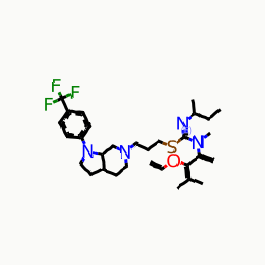 C=COC(C(=C)N(C)/C(=N\C(C)CC)SCCCN1CCC2CCN(c3ccc(C(F)(F)F)cc3)C2C1)=C(C)C